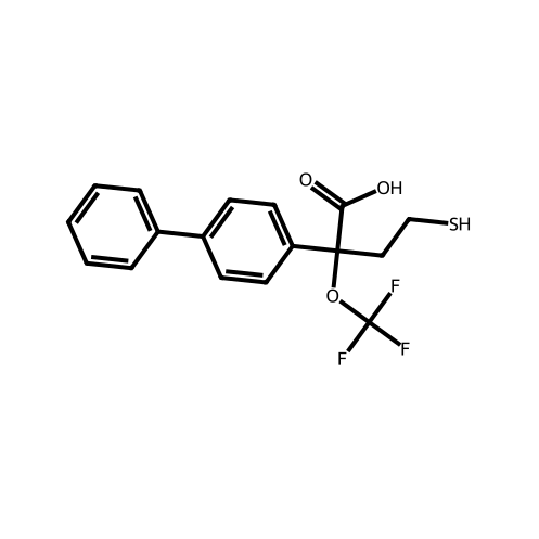 O=C(O)C(CCS)(OC(F)(F)F)c1ccc(-c2ccccc2)cc1